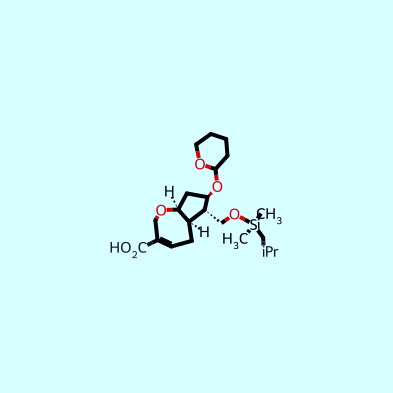 CC(C)C[Si](C)(C)OC[C@@H]1[C@H]2CC=C(C(=O)O)CO[C@H]2C[C@H]1OC1CCCCO1